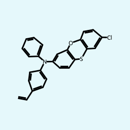 C=Cc1ccc(N(c2ccccc2)c2ccc3c(c2)Oc2ccc(Cl)cc2S3)cc1